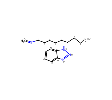 C=NCCCCCCCCCCCCCCCCCC.c1ccc2[nH]nnc2c1